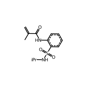 C=C(C)C(=O)Nc1ccccc1S(=O)(=O)NC(C)C